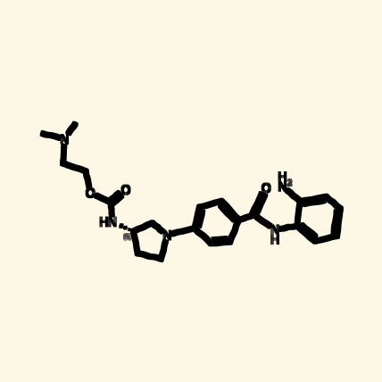 CN(C)CCOC(=O)N[C@H]1CCN(c2ccc(C(=O)Nc3ccccc3N)cc2)C1